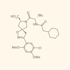 COc1cc(OC)c(C2=NO[C@]3(C2)C[C@@H](C(=O)O)N(C(=O)[C@@H](NC(=O)CC2CCCCC2)C(C)(C)C)C3)cc1Cl